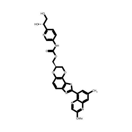 COc1cnc2c(-c3nc4ccc5c(c4s3)OC[C@H](COC(=O)Nc3ccc([C@H](O)CO)nc3)O5)cc(C)cc2n1